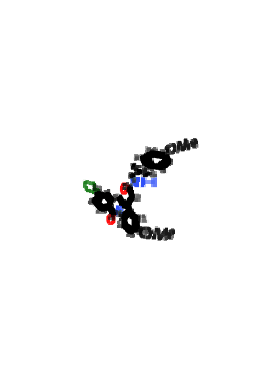 COc1ccc([Si](C)(C)CNC(=O)Cc2c(C)n(C(=O)c3ccc(Cl)cc3)c3ccc(OC)cc23)cc1